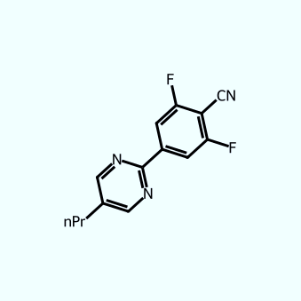 CCCc1cnc(-c2cc(F)c(C#N)c(F)c2)nc1